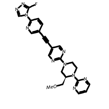 COC[C@H]1CN(c2ncc(C#Cc3ccc(-n4cnnc4F)nc3)cn2)CCN1c1ncccn1